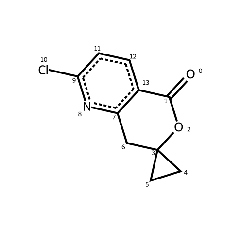 O=C1OC2(CC2)Cc2nc(Cl)ccc21